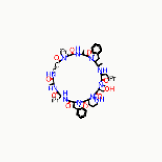 CC(C)CC1NC(C)C(Cc2ccccc2)N(C)C(=O)C(C)NC(=O)C(C(C)C)N(C)C(=O)CCNC(=O)C(C)NC(=O)C(C(C)C)NC(=O)C(Cc2ccccc2)N(C)C(=O)C2CCCNN2C(=O)C(CO)N(C)C1=O